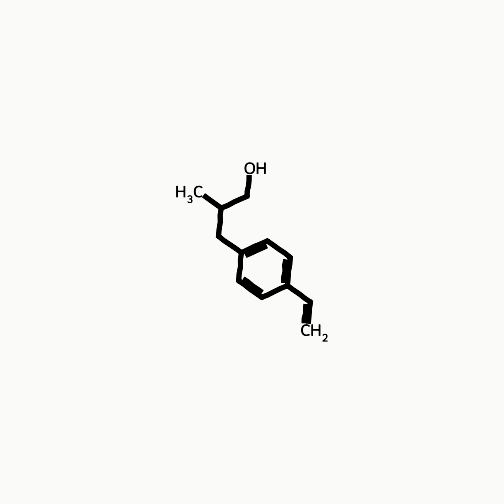 C=Cc1ccc(CC(C)CO)cc1